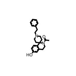 CC(=O)N1CCc2cc(O)ccc2C12CCN(CCc1ccccc1)CC2